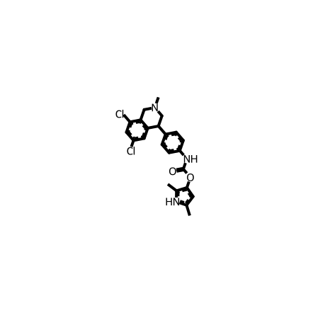 Cc1cc(OC(=O)Nc2ccc(C3CN(C)Cc4c(Cl)cc(Cl)cc43)cc2)c(C)[nH]1